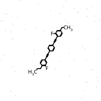 CCCc1ccc(C#Cc2ccc(C#Cc3ccc(CC)cc3F)cc2)cc1F